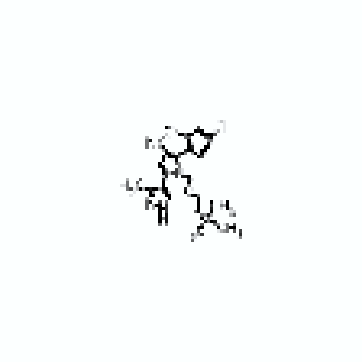 Cc1n[nH]cc1-c1cc(C#N)c(-c2ccc(Cl)cc2Cl)n1COCC[Si](C)(C)C